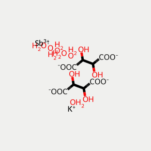 O.O.O.O.O.O.O=C([O-])C(O)C(O)C(=O)[O-].O=C([O-])C(O)C(O)C(=O)[O-].[K+].[Sb+3]